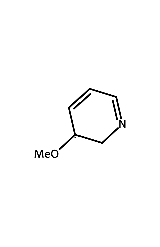 CO[C]1C=CC=NC1